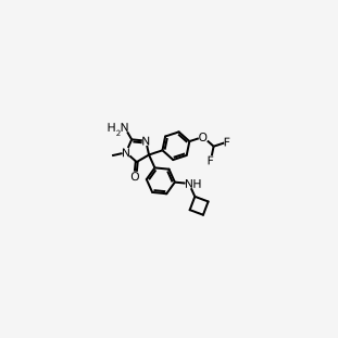 CN1C(=O)C(c2ccc(OC(F)F)cc2)(c2cccc(NC3CCC3)c2)N=C1N